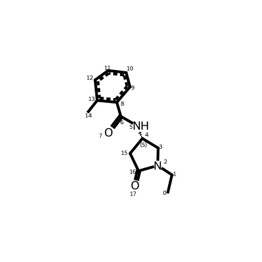 CCN1C[C@@H](NC(=O)c2ccccc2C)CC1=O